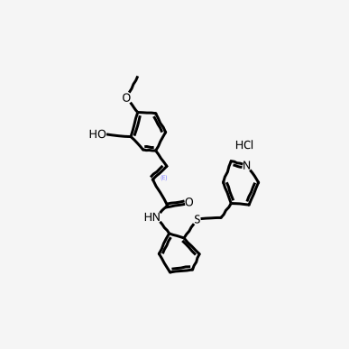 COc1ccc(/C=C/C(=O)Nc2ccccc2SCc2ccncc2)cc1O.Cl